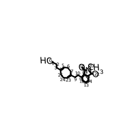 C#CCC/C1=C/CC/C(CCc2cccc3c2C(=O)N(C)C3=O)=C\CC1